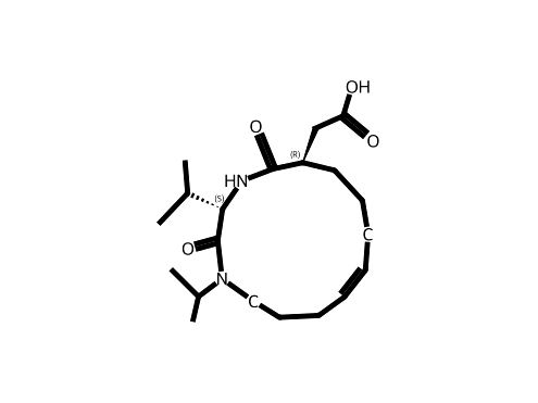 CC(C)[C@@H]1NC(=O)[C@@H](CC(=O)O)CCCC=CCCCN(C(C)C)C1=O